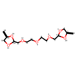 C=C1COC(COCCOCCOCC2OCC(=C)O2)O1